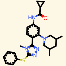 CC1CC(C)CN(c2cc(NC(=O)C3CC3)ccc2-c2nnc(Sc3ccccc3)n2C)C1